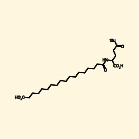 CC(C)(C)C(=O)CCC(NC(=O)CCCCCCCCCCCCCCCCC(=O)O)C(=O)O